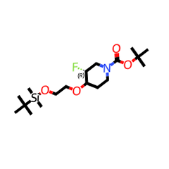 CC(C)(C)OC(=O)N1CCC(OCCO[Si](C)(C)C(C)(C)C)[C@H](F)C1